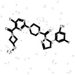 N#Cc1cc(F)cc([C@@H]2CC=NN2C(=O)N2CCN(c3ncc(F)c(C(=O)N4CC(OC(F)(F)F)C4)n3)CC2)c1